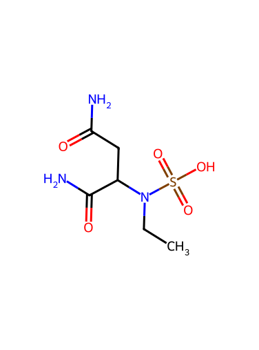 CCN(C(CC(N)=O)C(N)=O)S(=O)(=O)O